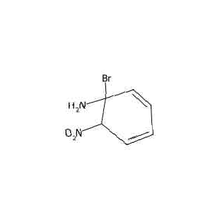 NC1(Br)C=CC=CC1[N+](=O)[O-]